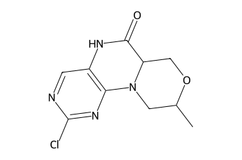 CC1CN2c3nc(Cl)ncc3NC(=O)C2CO1